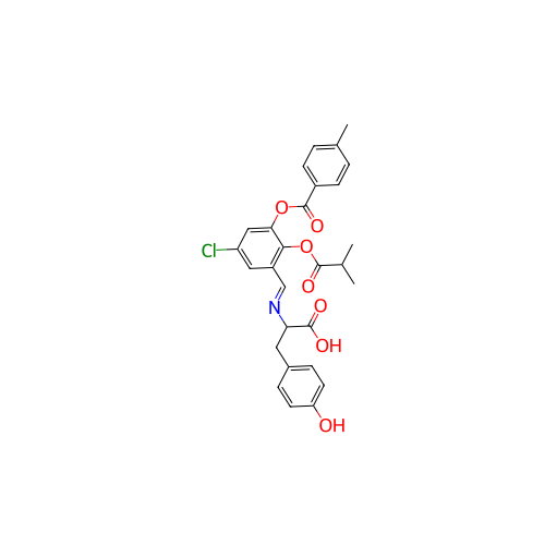 Cc1ccc(C(=O)Oc2cc(Cl)cc(C=NC(Cc3ccc(O)cc3)C(=O)O)c2OC(=O)C(C)C)cc1